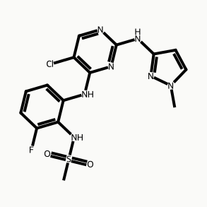 Cn1ccc(Nc2ncc(Cl)c(Nc3cccc(F)c3NS(C)(=O)=O)n2)n1